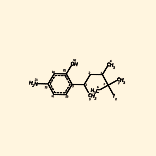 CC(CC(C)C(C)(C)I)c1ccc(N)cc1O